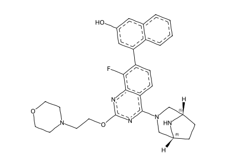 Oc1cc(-c2ccc3c(N4C[C@H]5CC[C@@H](C4)N5)nc(OCCN4CCOCC4)nc3c2F)c2ccccc2c1